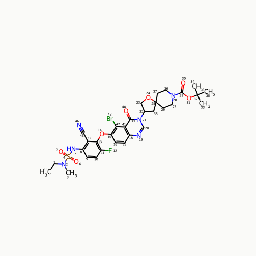 CCN(C)S(=O)(=O)Nc1ccc(F)c(Oc2ccc3ncn(C4COC5(CCN(C(=O)OC(C)(C)C)CC5)C4)c(=O)c3c2Br)c1C#N